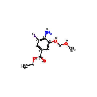 CCOC(=O)c1cc(I)c(N)c(OCOC)c1